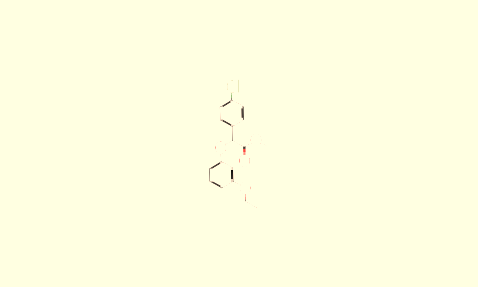 CCOc1cccc(OC(C(=O)OC)c2ccc(Cl)cc2)c1